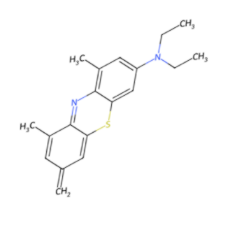 C=c1cc(C)c2c(c1)Sc1cc(N(CC)CC)cc(C)c1N=2